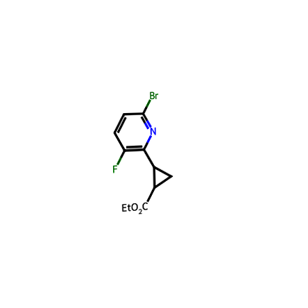 CCOC(=O)C1CC1c1nc(Br)ccc1F